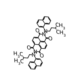 CC(C)CCN(c1cccc2ccccc12)N1C(=O)c2ccc3c4c(ccc(c24)C1=O)C(=O)N(N(CCC(C)C)c1cccc2ccccc12)C3=O